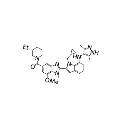 CC[C@@H]1CCCN(C(=O)c2cc(OC)c3c(c2)nc(-c2cc4cccc(Nc5c(C)n[nH]c5C)c4n2CC2CC2)n3C)C1